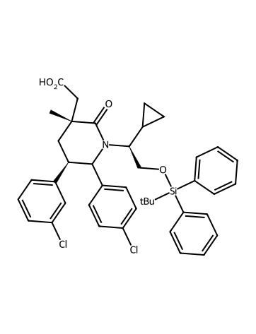 CC(C)(C)[Si](OC[C@H](C1CC1)N1C(=O)[C@@](C)(CC(=O)O)C[C@H](c2cccc(Cl)c2)C1c1ccc(Cl)cc1)(c1ccccc1)c1ccccc1